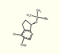 CC(C)(C)[Si](C)(C)O[C@@H]1CCc2c1ncc(C=O)c2Cl